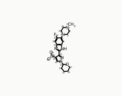 CN1CCN(c2cc3[nH]c(-c4nn(C5CCCCO5)cc4[N+](=O)[O-])nc3cc2F)CC1